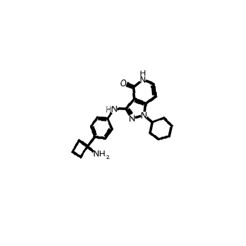 NC1(c2ccc(Nc3nn(C4CCCCC4)c4cc[nH]c(=O)c34)cc2)CCC1